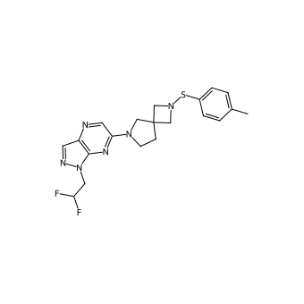 Cc1ccc(SN2CC3(CCN(c4cnc5cnn(CC(F)F)c5n4)C3)C2)cc1